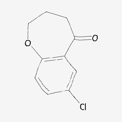 O=C1CCCOc2ccc(Cl)cc21